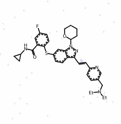 CCN(CC)Cc1ccc(/C=C/c2nn(C3CCCCO3)c3cc(Sc4ccc(F)cc4C(=O)NC4CC4)ccc23)nc1